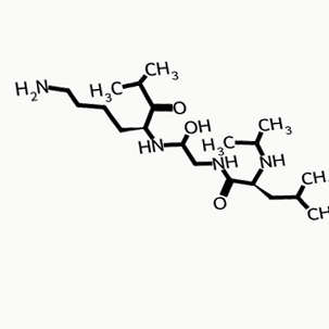 CC(C)C[C@H](NC(C)C)C(=O)NCC(O)N[C@@H](CCCCN)C(=O)C(C)C